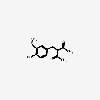 COc1cc(CC(C(C)=O)C(C)=O)ccc1O